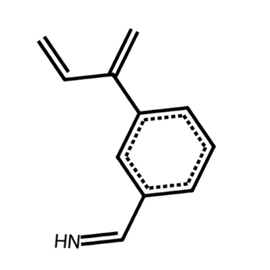 C=CC(=C)c1cccc(C=N)c1